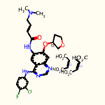 CN(C)CC=CC(=O)Nc1cc2c(Nc3ccc(F)c(Cl)c3)ncnc2cc1O[C@H]1CCOC1.O=C(O)/C=C\C(=O)O.O=C(O)/C=C\C(=O)O